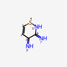 N=c1ccs[nH]c1=N